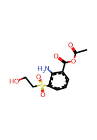 CC(=O)OC(=O)c1cccc(S(=O)(=O)CCO)c1N